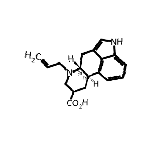 C=CCN1CC(C(=O)O)C[C@@H]2c3cccc4[nH]cc(c34)C[C@H]21